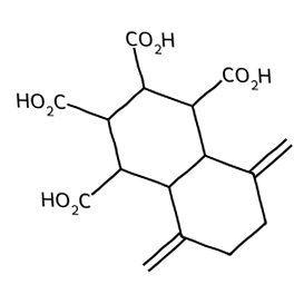 C=C1CCC(=C)C2C1C(C(=O)O)C(C(=O)O)C(C(=O)O)C2C(=O)O